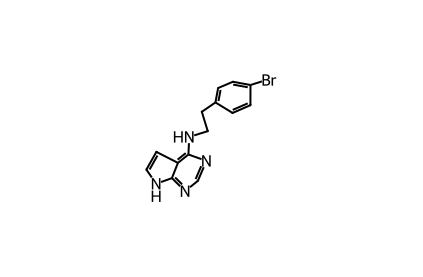 Brc1ccc(CCNc2ncnc3[nH]ccc23)cc1